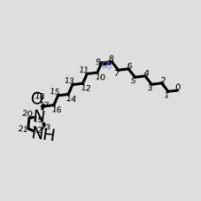 CCCCCCCC/C=C\CCCCCCCC(=O)N1CCNC1